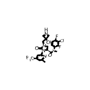 Cc1cc(C(F)(F)F)cc(N2C(=O)N(CC3(O)CNC3)C[C@H]2C(=O)N(C)c2ccc(F)c(Cl)c2F)n1